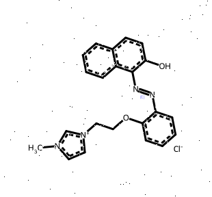 Cn1cc[n+](CCOc2ccccc2/N=N/c2c(O)ccc3ccccc23)c1.[Cl-]